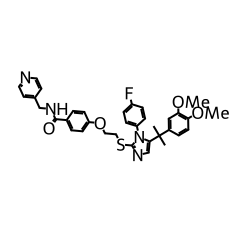 COc1ccc(C(C)(C)c2cnc(SCCOc3ccc(C(=O)NCc4ccncc4)cc3)n2-c2ccc(F)cc2)cc1OC